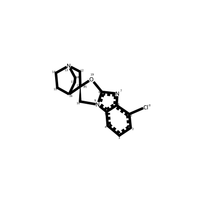 Clc1cccc2c1nc1n2C[C@@]2(CN3CCC2CC3)O1